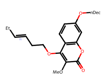 CC/C=C/CCOc1c(OC)c(=O)oc2cc(OCCCCCCCCCC)ccc12